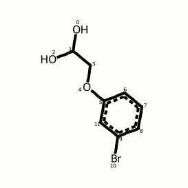 OC(O)COc1cccc(Br)c1